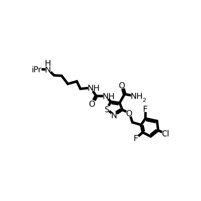 CC(C)NCCCCCNC(=O)Nc1snc(OCc2c(F)cc(Cl)cc2F)c1C(N)=O